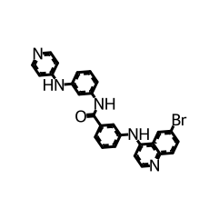 O=C(Nc1cccc(Nc2ccncc2)c1)c1cccc(Nc2ccnc3ccc(Br)cc23)c1